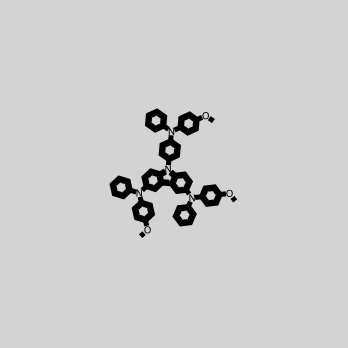 COc1ccc(N(c2ccccc2)c2ccc(-n3c4ccc(N(c5ccccc5)c5ccc(OC)cc5)cc4c4cc(N(c5ccccc5)c5ccc(OC)cc5)ccc43)cc2)cc1